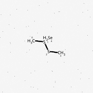 CSSC.[SeH2]